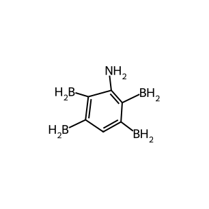 Bc1cc(B)c(B)c(N)c1B